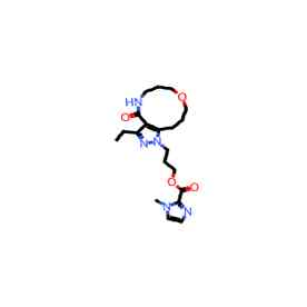 CCc1nn(CCCOC(=O)c2nccn2C)c2c1C(=O)NCCCOCCC2